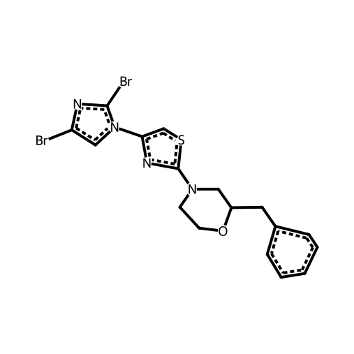 Brc1cn(-c2csc(N3CCOC(Cc4ccccc4)C3)n2)c(Br)n1